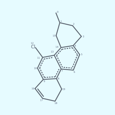 CC1CCc2ccc3c4c(cc(Cl)c3c2C1)C=CCC4